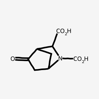 O=C1CC2CC1C(C(=O)O)N2C(=O)O